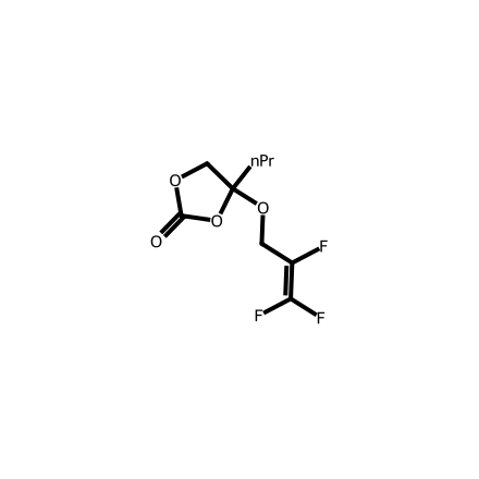 CCCC1(OCC(F)=C(F)F)COC(=O)O1